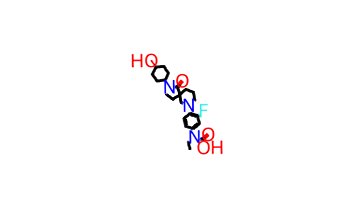 CCN(C(=O)O)c1ccc(N2CCCC3(CCN([C@H]4CC[C@H](O)CC4)C3=O)C2)c(F)c1